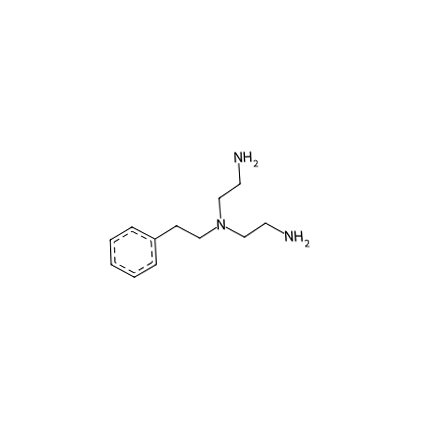 NCCN(CCN)CCc1ccccc1